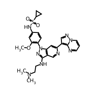 COc1cc(NS(=O)(=O)C2CC2)ccc1-n1nc(NCCN(C)C)c2cnc(-c3cnn4cccnc34)cc21